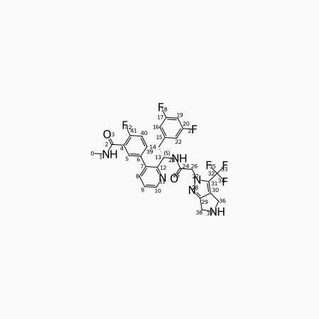 CNC(=O)c1cc(-c2cccnc2[C@H](Cc2cc(F)cc(F)c2)NC(=O)Cn2nc3c(c2C(F)(F)F)CNC3)ccc1F